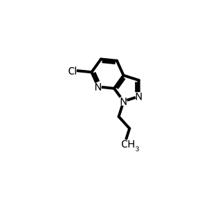 CCCn1ncc2ccc(Cl)nc21